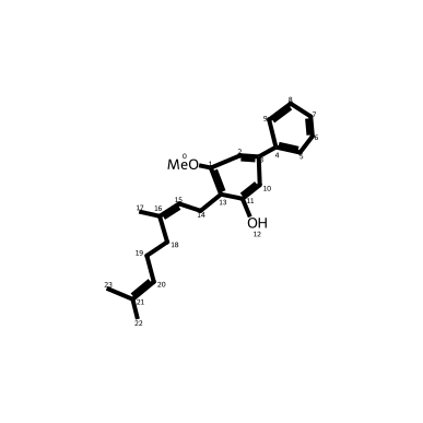 COc1cc(-c2ccccc2)cc(O)c1CC=C(C)CCC=C(C)C